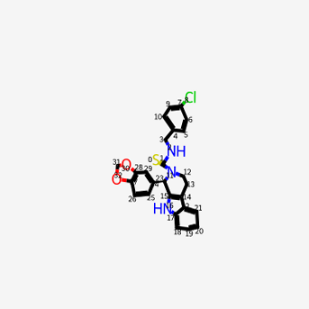 S=C(NCc1ccc(Cl)cc1)N1CCc2c([nH]c3ccccc23)[C@H]1c1ccc2c(c1)OCO2